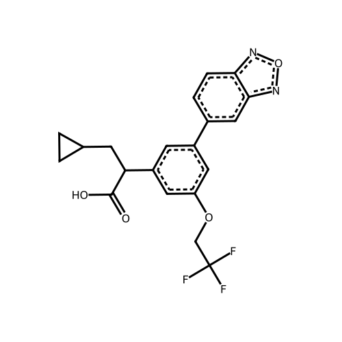 O=C(O)C(CC1CC1)c1cc(OCC(F)(F)F)cc(-c2ccc3nonc3c2)c1